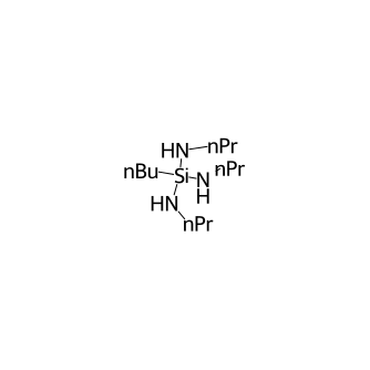 CCCC[Si](NCCC)(NCCC)NCCC